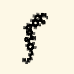 CCCCc1ccc(C(=O)Nc2cc3n(n2)CCN3c2ccc3c(c2)CCN(C)C3=O)cc1